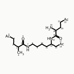 CC(=O)CCC(C)C(=O)NCCCCC(CC(C)=O)NC(=O)C(N)CCC(C)=O